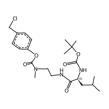 CC(C)C[C@H](NC(=O)OC(C)(C)C)C(=O)NCCN(C)C(=O)Oc1ccc(CCl)cc1